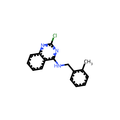 Cc1ccccc1CNc1nc(Cl)nc2ccccc12